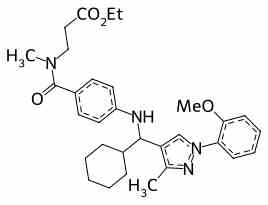 CCOC(=O)CCN(C)C(=O)c1ccc(NC(c2cn(-c3ccccc3OC)nc2C)C2CCCCC2)cc1